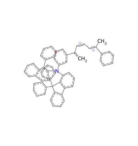 C=C(/C=C\C=C(/C)c1ccccc1)c1cccc(N(c2cccc3c2C(c2ccccc2)(c2ccccc2)c2ccccc2-3)c2ccc3ccccc3c2-c2ccccc2)c1